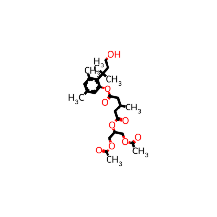 CC(=O)OCC(COC(C)=O)OC(=O)CC(C)CC(=O)Oc1cc(C)cc(C)c1C(C)(C)CCO